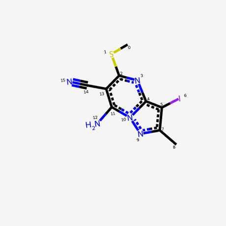 CSc1nc2c(I)c(C)nn2c(N)c1C#N